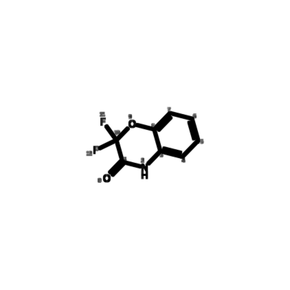 O=C1Nc2c[c]ccc2OC1(F)F